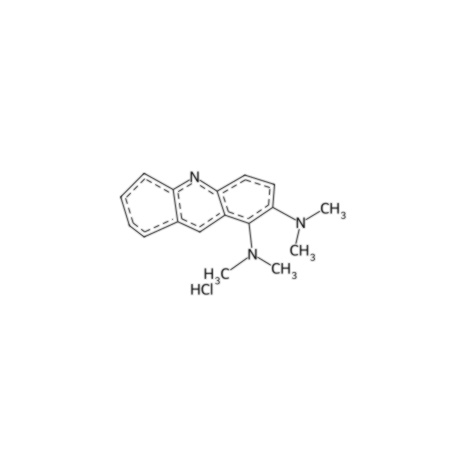 CN(C)c1ccc2nc3ccccc3cc2c1N(C)C.Cl